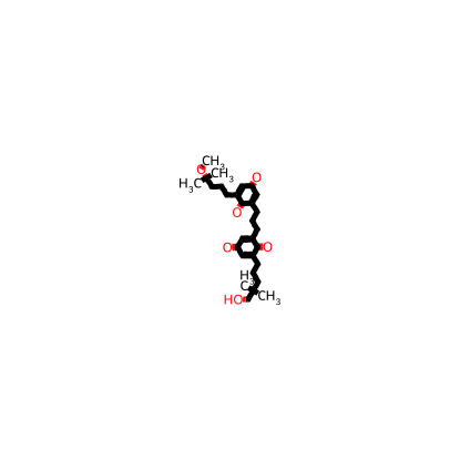 COC(C)(C)CCCC1=CC(=O)C=C(CCCC2=CC(=O)C=C(CCCC(C)(C)CO)C2=O)C1=O